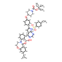 Cc1ccc(S(=O)(=O)n2c(-c3ccc(OC4CCN(C(=O)OC(C)(C)C)CC4)cc3)cc3c(-c4cccc(N5CCOc6cc(C7CC7)ccc6C5=O)c4CO)ncnc32)cc1